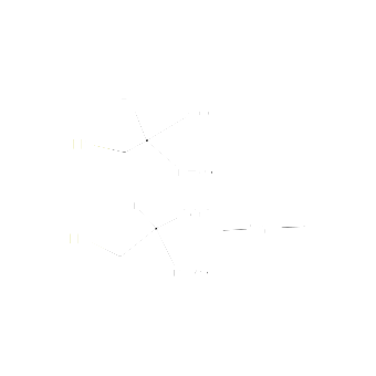 CCCCCCC(CC)(CS)C(=O)[O-].CCCCCCC(CC)(CS)C(=O)[O-].[CH3][Sn+2][CH3]